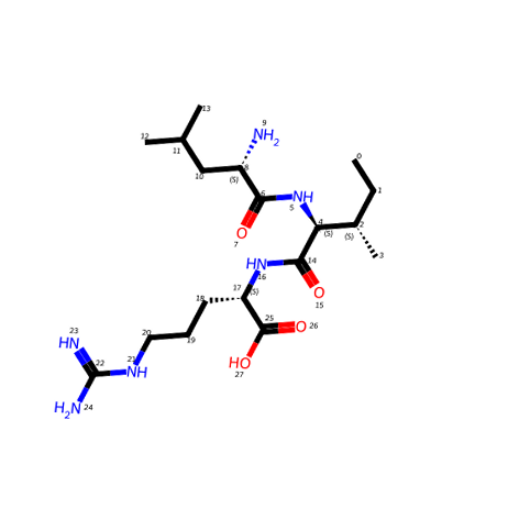 CC[C@H](C)[C@H](NC(=O)[C@@H](N)CC(C)C)C(=O)N[C@@H](CCCNC(=N)N)C(=O)O